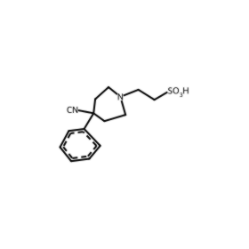 [C-]#[N+]C1(c2ccccc2)CCN(CCS(=O)(=O)O)CC1